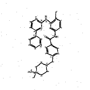 Cc1ccc(NC(=O)c2ccc(CN3CC[N+](C)(O)CC3)cc2)cc1Nc1nccc(-c2cccnc2)n1